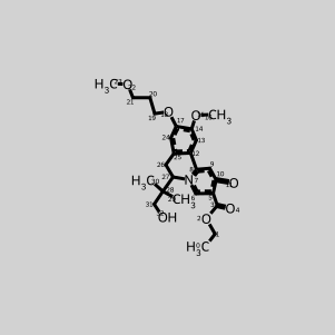 CCOC(=O)c1cn2c(cc1=O)-c1cc(OC)c(OCCCOC)cc1CC2C(C)(C)CO